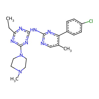 CCc1nc(Nc2ncc(C)c(-c3ccc(Cl)cc3)n2)nc(N2CCN(C)CC2)n1